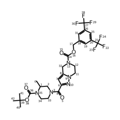 CC1CN(C(=O)c2cc3n(n2)CCN(C(=O)OCc2cc(C(F)(F)F)cc(C(F)(F)F)c2)C3)CCN1C(=O)OC(C)(C)C